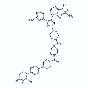 CCC(c1cccc(-c2nc(C3CCN(C(=O)C4(C)CCN(C(=O)C5CCN(c6ccc(C7CCC(=O)NC7=O)cn6)CC5)CC4)CC3)sc2-c2ccnc(N)n2)c1F)S(N)(=O)=O